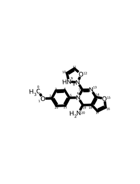 COc1ccc(N2C(N3NC=CO3)=Nc3occc3C2N)cc1